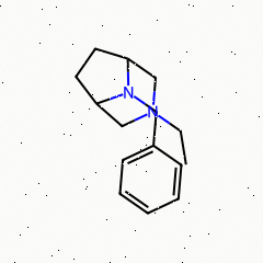 CCN1CC2CCC(C1)N2Cc1ccccc1